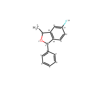 CC1OB(c2ccccc2)c2ccc(F)cc21